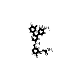 Cc1cc(-c2ncc(NCc3ccc(C)c(OCC(N)=O)c3)cc2-c2ccc(N)c(S)c2)ccc1F